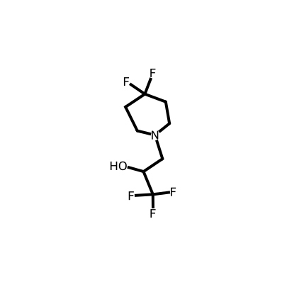 OC(CN1CCC(F)(F)CC1)C(F)(F)F